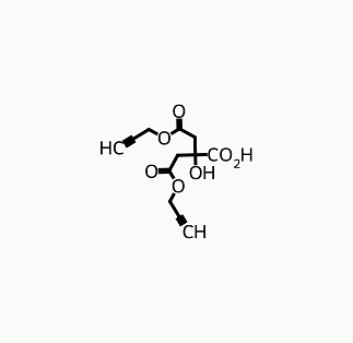 C#CCOC(=O)CC(O)(CC(=O)OCC#C)C(=O)O